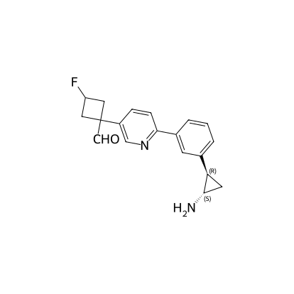 N[C@H]1C[C@@H]1c1cccc(-c2ccc(C3(C=O)CC(F)C3)cn2)c1